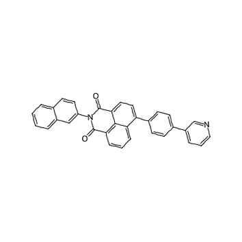 O=C1c2cccc3c(-c4ccc(-c5cccnc5)cc4)ccc(c23)C(=O)N1c1ccc2ccccc2c1